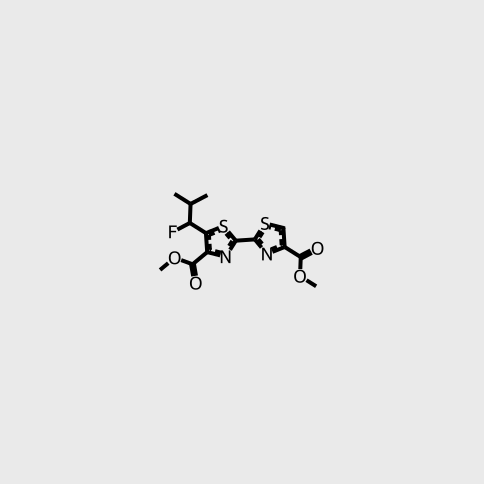 COC(=O)c1csc(-c2nc(C(=O)OC)c(C(F)C(C)C)s2)n1